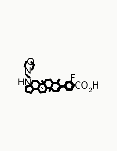 CC1C(c2ccc(C(=O)O)c(F)c2)=CCC2(C)C1CCC1(C)C2CCC2C3CCCC3(NCCN3CCOCC3)CC[C@]21C